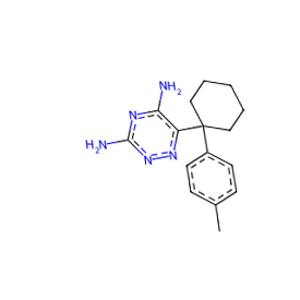 Cc1ccc(C2(c3nnc(N)nc3N)CCCCC2)cc1